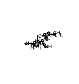 CN(C)CCOc1cccc(-c2ccc(Cl)cc2)c1CNCCNc1ccc(C(=O)NS(=O)(=O)c2ccc(NCCCN3CCCC3)c([N+](C)([O-])O)c2)c(Oc2ccc3[nH]ccc3c2)c1